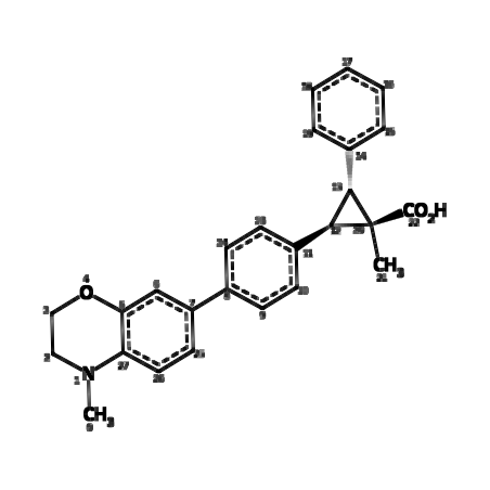 CN1CCOc2cc(-c3ccc([C@H]4[C@H](c5ccccc5)[C@@]4(C)C(=O)O)cc3)ccc21